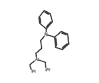 CC(C)[CH2][Al]([CH2]CCN(c1ccccc1)c1ccccc1)[CH2]C(C)C